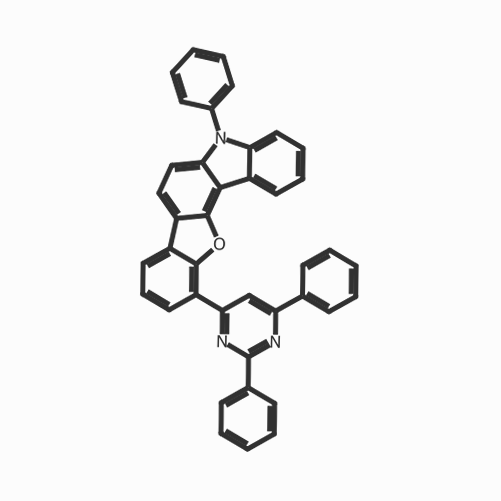 c1ccc(-c2cc(-c3cccc4c3oc3c4ccc4c3c3ccccc3n4-c3ccccc3)nc(-c3ccccc3)n2)cc1